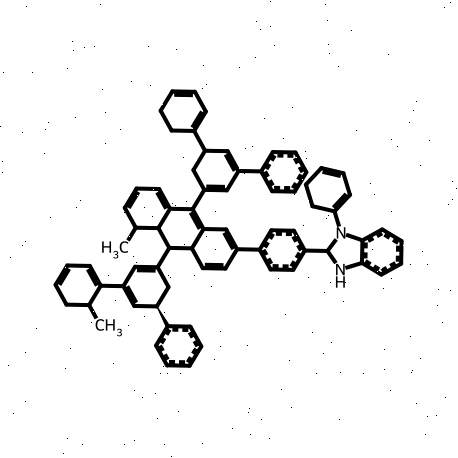 CC1CC=CC=C1C1=C[C@H](c2ccccc2)CC(C2C3C=CC(c4ccc(C5Nc6ccccc6N5C5=CC=CCC5)cc4)=CC3=C(C3=CC(c4ccccc4)=CC(C4=CC=CCC4)C3)C3=CC=CC(C)C32)=C1